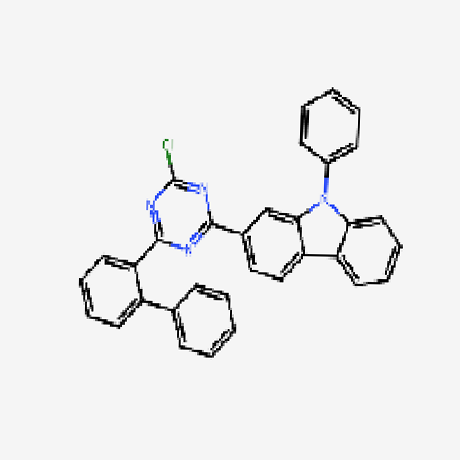 Clc1nc(-c2ccc3c4ccccc4n(-c4ccccc4)c3c2)nc(-c2ccccc2-c2ccccc2)n1